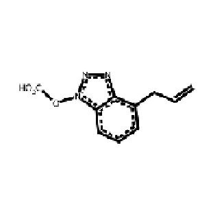 C=CCc1cccc2c1nnn2OC(=O)O